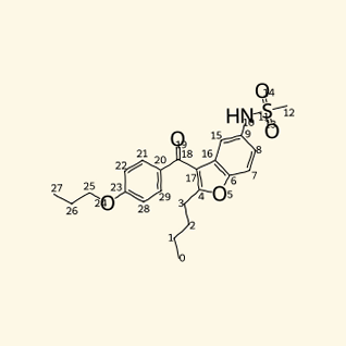 CCCCc1oc2ccc(NS(C)(=O)=O)cc2c1C(=O)c1ccc(OCCC)cc1